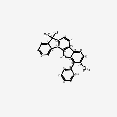 CCC1(CC)c2ccccc2-c2c1ccc1c2oc2c(-c3ccccn3)c(C)ccc21